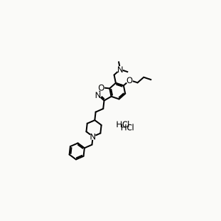 CCCOc1ccc2c(CCC3CCN(Cc4ccccc4)CC3)noc2c1CN(C)C.Cl.Cl